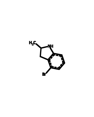 CC1Cc2c(Br)cccc2N1